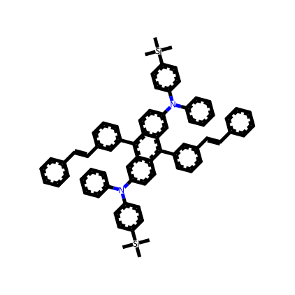 C[Si](C)(C)c1ccc(N(c2ccccc2)c2ccc3c(-c4cccc(/C=C/c5ccccc5)c4)c4cc(N(c5ccccc5)c5ccc([Si](C)(C)C)cc5)ccc4c(-c4cccc(/C=C/c5ccccc5)c4)c3c2)cc1